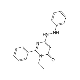 CCn1c(-c2ccccc2)nc(NNc2ccccc2)nc1=O